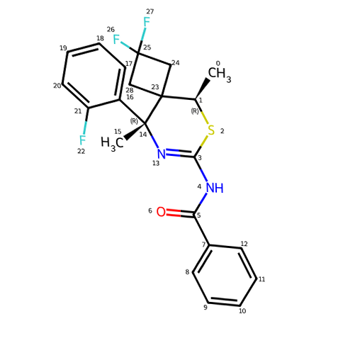 C[C@H]1SC(NC(=O)c2ccccc2)=N[C@](C)(c2ccccc2F)C12CC(F)(F)C2